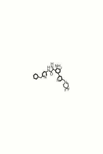 N=C(C(=O)Nc1ccc(Cc2ccccc2)nc1)c1cc(-c2cncc(CN3CCC(F)(F)CC3)c2)ccc1N